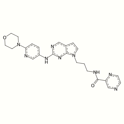 O=C(NCCCn1ccc2cnc(Nc3ccc(N4CCOCC4)nc3)nc21)c1cnccn1